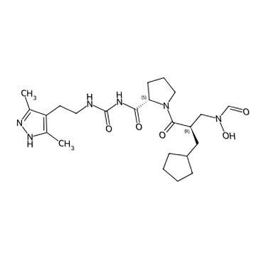 Cc1n[nH]c(C)c1CCNC(=O)NC(=O)[C@@H]1CCCN1C(=O)[C@H](CC1CCCC1)CN(O)C=O